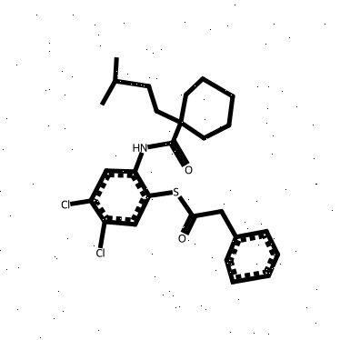 CC(C)CCC1(C(=O)Nc2cc(Cl)c(Cl)cc2SC(=O)Cc2ccccc2)CCCCC1